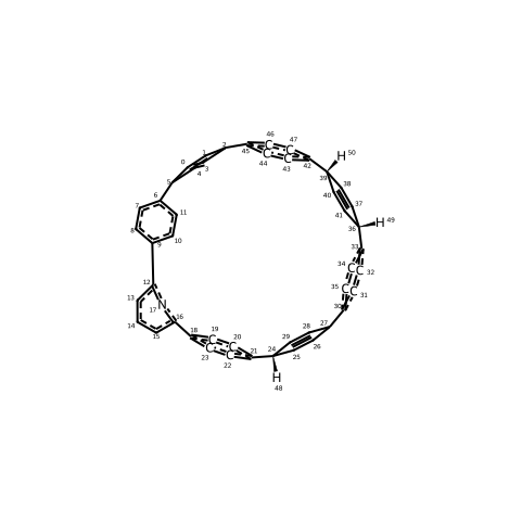 C1=CC2C=CC1c1ccc(cc1)-c1cccc(n1)-c1ccc(cc1)[C@H]1C=CC(C=C1)c1ccc(cc1)[C@H]1C=C[C@H](C=C1)c1ccc2cc1